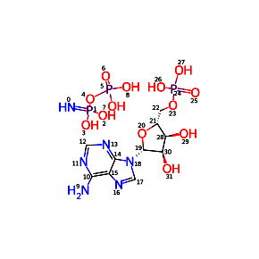 N=P(O)(O)OP(=O)(O)O.Nc1ncnc2c1ncn2[C@@H]1O[C@H](COP(=O)(O)O)[C@@H](O)[C@H]1O